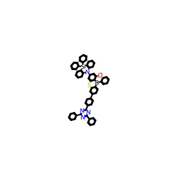 c1ccc(-c2nc(-c3ccccc3)nc(-c3ccc(-c4ccc5c(c4)Sc4cc(N6c7ccccc7[Si](c7ccccc7)(c7ccccc7)c7ccccc76)cc6c4B5c4ccccc4O6)cc3)n2)cc1